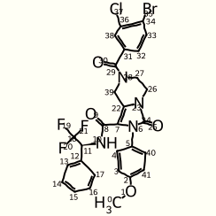 COc1ccc(-n2c(C(=O)N[C@@H](c3ccccc3)C(F)(F)F)c3n(c2=O)CCN(C(=O)c2ccc(Br)c(Cl)c2)C3)cc1